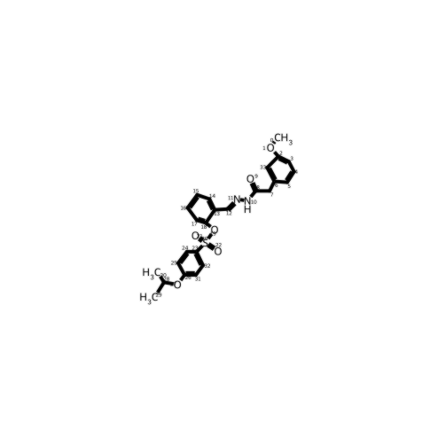 COc1cccc(CC(=O)NN=Cc2ccccc2OS(=O)(=O)c2ccc(OC(C)C)cc2)c1